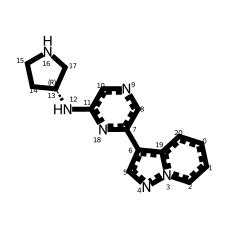 c1ccn2ncc(-c3cncc(N[C@@H]4CCNC4)n3)c2c1